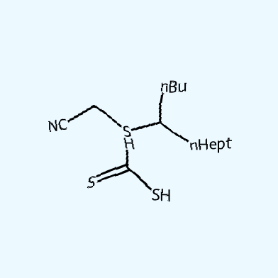 CCCCCCCC(CCCC)[SH](CC#N)C(=S)S